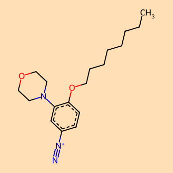 CCCCCCCCOc1ccc([N+]#N)cc1N1CCOCC1